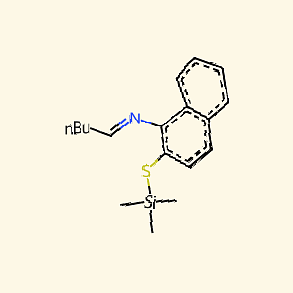 CCCC/C=N/c1c(S[Si](C)(C)C)ccc2ccccc12